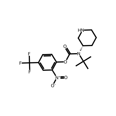 CC(C)(C)N(C(=O)Oc1ccc(C(F)(F)F)cc1[N+](=O)[O-])[C@H]1CCCNC1